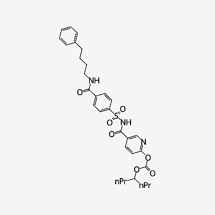 CCCC(CCC)OC(=O)Oc1ccc(C(=O)NS(=O)(=O)c2ccc(C(=O)NCCCCc3ccccc3)cc2)cn1